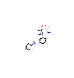 C[C@@H]1OC[C@]2(c3cc(NC(=O)c4ccc(C(F)(F)F)cn4)ccc3F)NC(=N)N(C)S(=O)(=O)[C@H]12